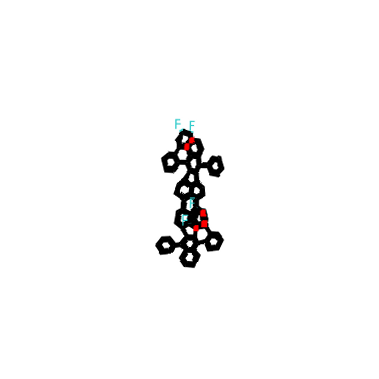 Fc1ccc(-c2ccccc2-c2c3c(c(-c4ccccc4)c4ccccc24)-c2ccc4c5ccc6c7c(ccc(c8ccc-3c2c48)c75)-c2c-6c(-c3ccccc3-c3ccc(F)c(F)c3)c3ccccc3c2-c2ccccc2)cc1F